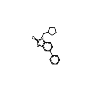 O=c1sc2cc(-c3ccccc3)ccc2n1CC1CCCC1